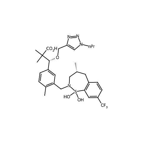 CCCn1cc(CO[C@H](c2ccc(C)c(CN3C[C@H](C)Cc4ccc(C(F)(F)F)cc4S3(O)O)c2)C(C)(C)C(=O)O)nn1